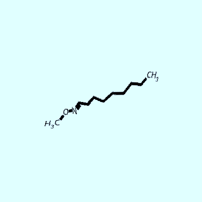 CCCCCCCCC=NOC